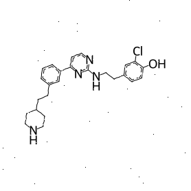 Oc1ccc(CCNc2nccc(-c3cccc(CCC4CCNCC4)c3)n2)cc1Cl